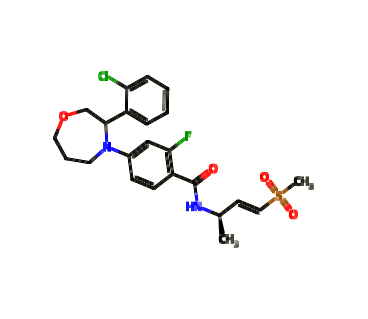 C[C@H](/C=C/S(C)(=O)=O)NC(=O)c1ccc(N2CCCOCC2c2ccccc2Cl)cc1F